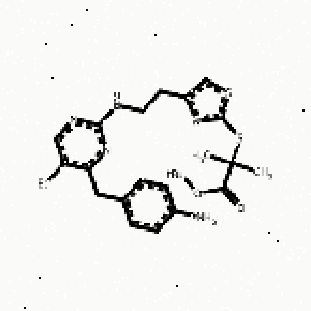 CCc1cnc(NCCc2csc(SC(C)(C)C(=O)OC(C)(C)C)n2)nc1Cc1ccc(N)cc1